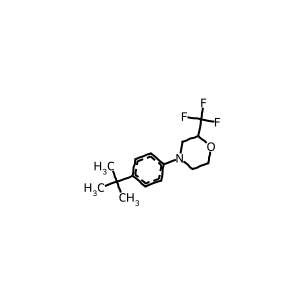 CC(C)(C)c1ccc(N2CCOC(C(F)(F)F)C2)cc1